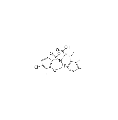 Cc1ccc(F)c(C(C)[C@@H](C(=O)O)N2CCOc3c(ccc(Cl)c3C)S2(=O)=O)c1C